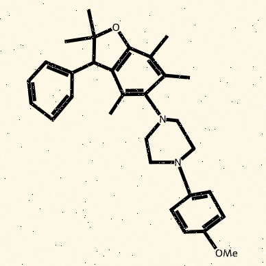 COc1ccc(N2CCN(c3c(C)c(C)c4c(c3C)C(c3ccccc3)C(C)(C)O4)CC2)cc1